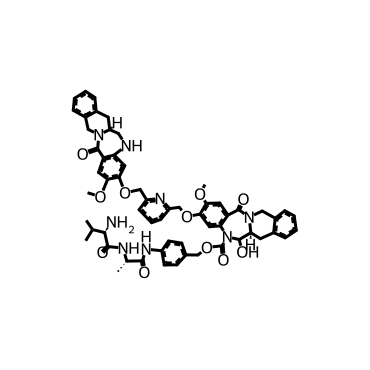 COc1cc2c(cc1OCc1cccc(COc3cc4c(cc3OC)C(=O)N3Cc5ccccc5C[C@H]3C(O)N4C(=O)OCc3ccc(NC(=O)[C@H](C)NC(=O)[C@@H](N)C(C)C)cc3)n1)NC[C@@H]1Cc3ccccc3CN1C2=O